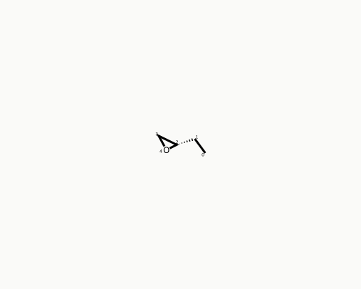 CC[C@H]1CO1